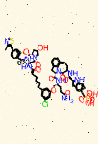 Cc1ncsc1-c1ccc([C@H](C)NC(=O)[C@@H]2C[C@@H](O)CN2C(=O)[C@@H](NC(=O)CCCCCc2cc(Cl)cc(OC[C@H](CCC(N)=O)NC(=O)[C@@H]3Cc4cccc5c4N3C(=O)[C@@H](NC(=O)c3cc4cc(C(=O)P(=O)(O)O)ccc4[nH]3)CC5)c2)C(C)(C)C)cc1